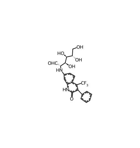 O=C[C@@H](Nc1ccc2c(C(F)(F)F)c(-c3ccccc3)c(=O)[nH]c2c1)[C@H](O)[C@@H](O)[C@@H](O)CO